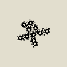 c1ccc2c(c1)Oc1cc(N(c3ccc4c(c3)Oc3ccccc3S4)c3cc(N(c4ccc5c(c4)Oc4ccccc4S5)c4ccc5c(c4)Oc4ccccc4S5)c4oc5cc6ccccc6cc5c4c3)ccc1S2